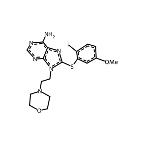 COc1ccc(I)c(Sc2nc3c(N)ncnc3n2CCN2CCOCC2)c1